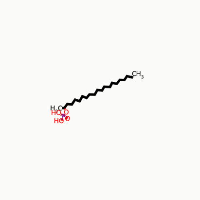 CCCCCCCCCCCCCCCCCCCC(C)OP(=O)(O)O